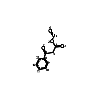 [O]=[V][O]C(=O)CC(=O)c1ccccc1